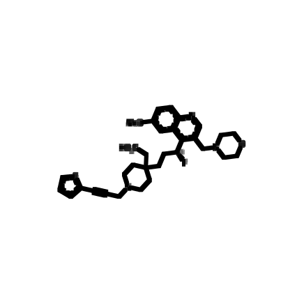 COc1ccc2ncc(CN3CCOCC3)c([C@@H](F)CCC3(CC(=O)O)CCN(CC#Cc4cccs4)CC3)c2c1